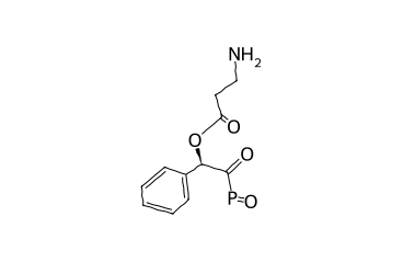 NCCC(=O)O[C@@H](C(=O)P=O)c1ccccc1